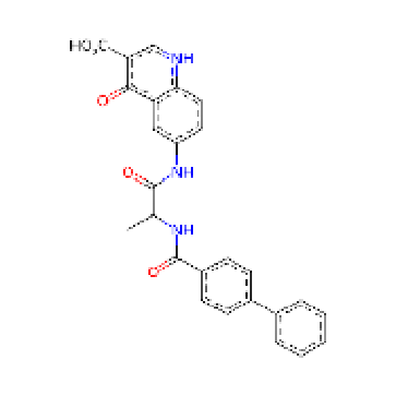 CC(NC(=O)c1ccc(-c2ccccc2)cc1)C(=O)Nc1ccc2[nH]cc(C(=O)O)c(=O)c2c1